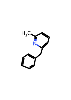 Cc1cccc(Cc2ccccc2)n1